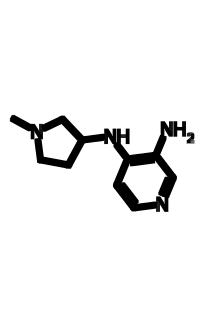 CN1CCC(Nc2ccncc2N)C1